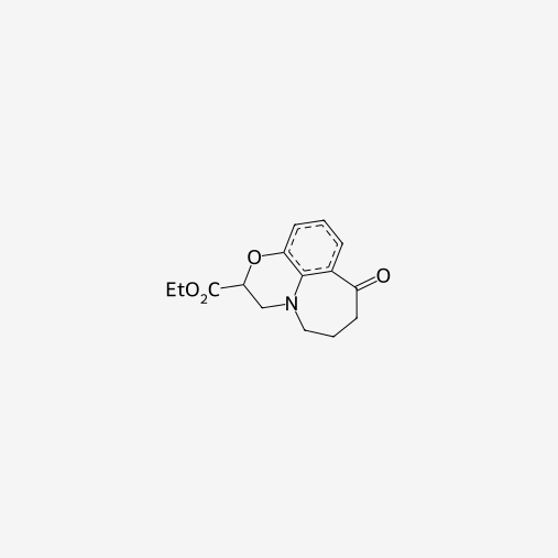 CCOC(=O)C1CN2CCCC(=O)c3cccc(c32)O1